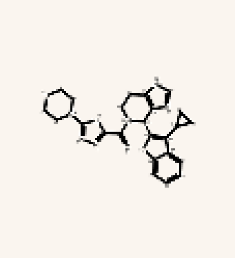 O=C(c1nnc(N2CCOCC2)o1)N1CCc2[nH]cnc2[C@H]1c1oc2ccccc2c1C1CC1